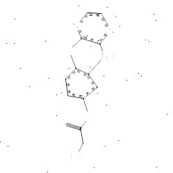 O=C(CO)Oc1ccc2c(c1)Nc1nccnc1S2